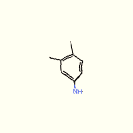 Cc1ccc([NH])cc1C